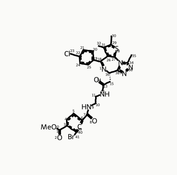 COC(=O)c1ccc(C(=O)NCCNC(=O)C[C@@H]2N=C(c3ccc(Cl)cc3)c3c(sc(C)c3C)-n3c(C)nnc32)cc1Br